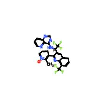 Cc1c(-c2nc3c(C(F)(F)F)cccc3cc2[C@@H](Nc2ncnc3cccnc23)C(F)(F)F)ccc[n+]1[O-]